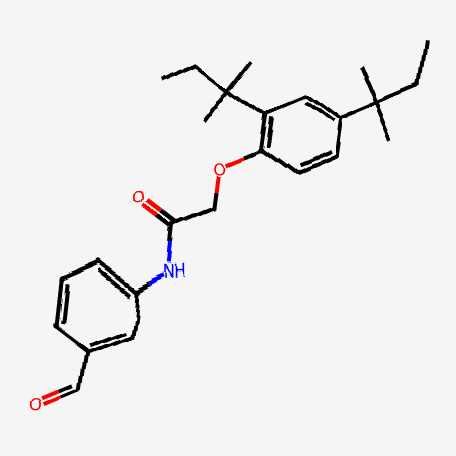 CCC(C)(C)c1ccc(OCC(=O)Nc2cccc(C=O)c2)c(C(C)(C)CC)c1